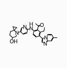 CCc1c(-c2cnc3cc(C)ccn23)ccc(Nc2ccc(N3CC(O)CCC34CC4)cn2)c1C(C)=O